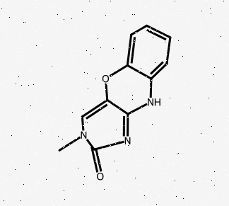 Cn1cc2c(nc1=O)Nc1ccccc1O2